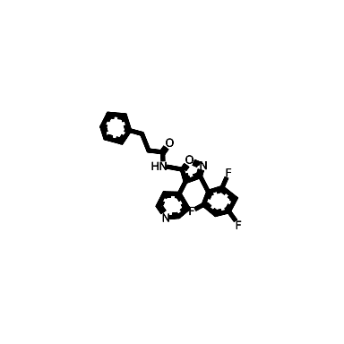 O=C(CCc1ccccc1)Nc1onc(-c2c(F)cc(F)cc2F)c1-c1ccncc1